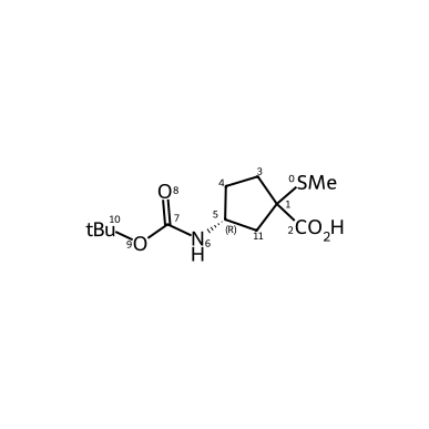 CSC1(C(=O)O)CC[C@@H](NC(=O)OC(C)(C)C)C1